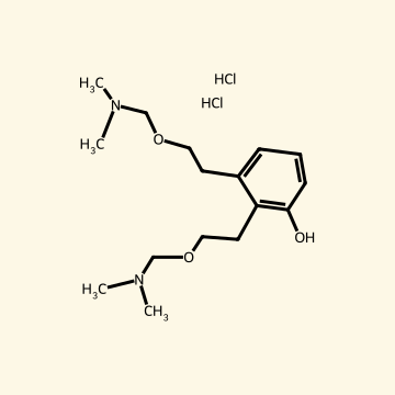 CN(C)COCCc1cccc(O)c1CCOCN(C)C.Cl.Cl